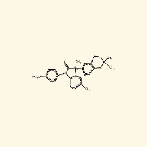 Cc1ccc2c(c1)[C@](C)(c1ccc3c(c1)CCC(C)(C)O3)C(=O)N2c1ccc(C(=O)O)cc1